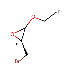 CC(C)COC1O[C@@H]1CBr